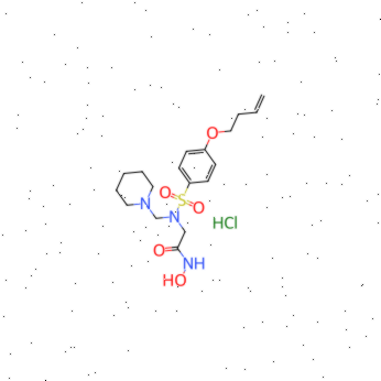 C=CCCOc1ccc(S(=O)(=O)N(CC(=O)NO)CN2CCCCC2)cc1.Cl